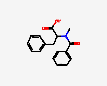 CN(C(=O)c1ccccc1)C(Cc1[c]cccc1)C(=O)O